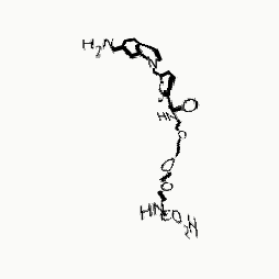 NCc1ccc2ccn(Cc3ccc(C(=O)NCCOCCOCCOCCNC(=O)O)s3)c2c1